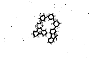 CC1(C)c2ccccc2-c2ccc(-c3cccc(-c4cccc(-c5cccc(-c6cnc7c8ccccc8c8ccccc8c7n6)c5)c4)c3)cc21